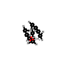 Cc1cc(C)nc(-c2cc(-n3c4cc(-c5ccc(C#N)cc5C#N)ccc4c4ccc(-c5ccc(C#N)cc5C#N)cc43)c(C#N)cc2-n2c3cc(-c4ccc(C#N)cc4C#N)ccc3c3ccc(-c4ccc(C#N)cc4C#N)cc32)n1